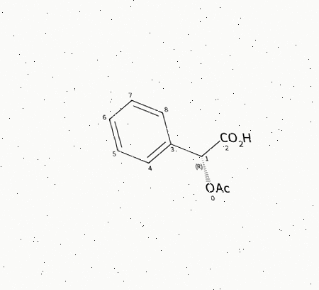 CC(=O)O[C@@H](C(=O)O)c1ccccc1